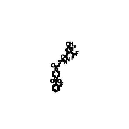 Cn1cc(-c2nnc(SCC(=O)N3CCN(S(=O)(=O)c4ccccc4F)CC3)o2)c(C(F)F)n1